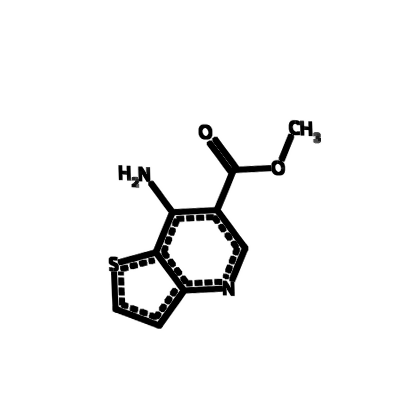 COC(=O)c1cnc2ccsc2c1N